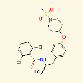 CS(=O)(=O)N1CCC(Oc2ccc(C[C@H](NC(=O)c3c(Cl)cccc3Cl)C(=O)O)cc2)CC1